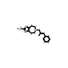 C/C(=C\c1ccccc1)CN1CCc2nc(N)sc2CC1